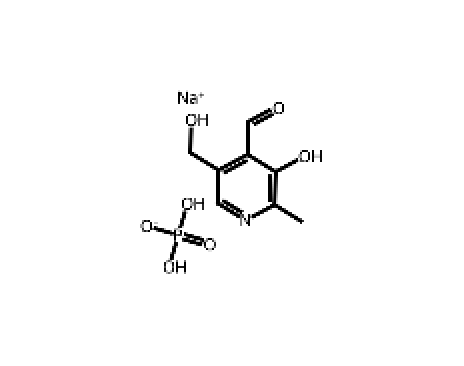 Cc1ncc(CO)c(C=O)c1O.O=P([O-])(O)O.[Na+]